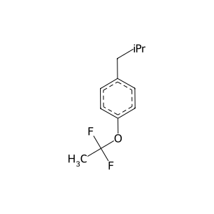 CC(C)Cc1ccc(OC(C)(F)F)cc1